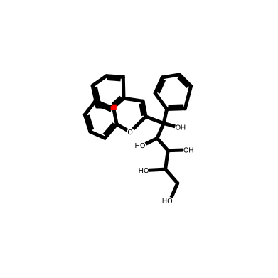 OCC(O)C(O)C(O)C(O)(C(=Cc1ccccc1)Oc1ccccc1)c1ccccc1